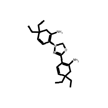 CCC1(CC)C=CC(C2=NN(C3=C(N)CC(CC)(CC)C=C3)CO2)=C(N)C1